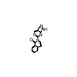 O=c1c2ccccc2ccn1-c1ncc2cn[nH]c2n1